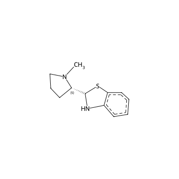 CN1CCC[C@H]1C1Nc2ccccc2S1